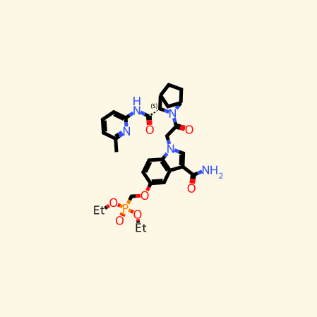 CCOP(=O)(COc1ccc2c(c1)c(C(N)=O)cn2CC(=O)N1C2CCC(C2)[C@H]1C(=O)Nc1cccc(C)n1)OCC